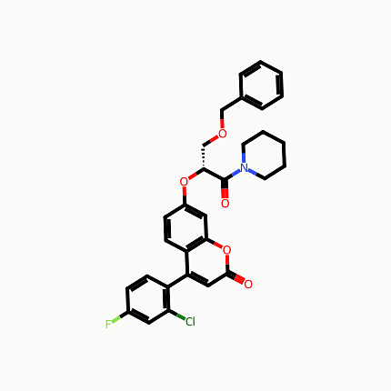 O=C([C@@H](COCc1ccccc1)Oc1ccc2c(-c3ccc(F)cc3Cl)cc(=O)oc2c1)N1CCCCC1